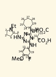 CCN1CCCC1CNc1nc(Nc2ccc(OC)c(F)c2)nc(NC2CCCCCC2)n1.O=C(O)CCC(=O)O